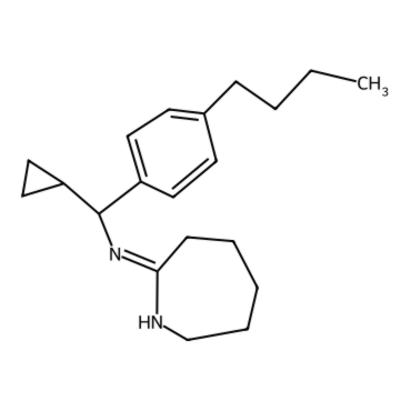 CCCCc1ccc(C(N=C2CCCCCN2)C2CC2)cc1